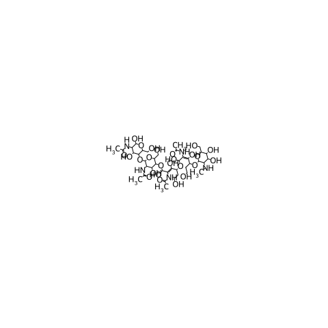 CNC1C(OC(CCO)/C(O)=C(/NC(C)=O)C(O)OC(CCO)/C(O)=C(\NC(C)=O)C(O)OC2C(CO)OC(OC3C(CO)OC(O)C(NC(C)=O)C3O)C(NC(C)=O)C2O)OC(CO)C(O)C1O